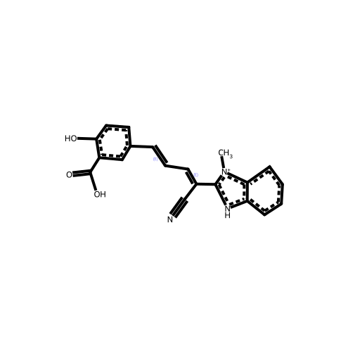 C[n+]1c(/C(C#N)=C/C=C/c2ccc(O)c(C(=O)O)c2)[nH]c2ccccc21